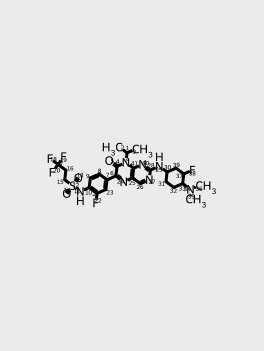 CC(C)n1c(=O)c(-c2ccc(NS(=O)(=O)CCC(F)(F)F)c(F)c2)nc2cnc(NC3CCC(N(C)C)C(F)C3)nc21